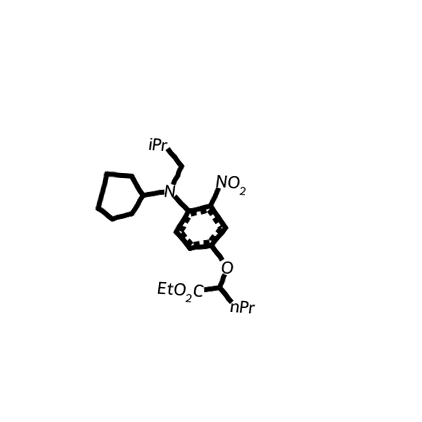 CCCC(Oc1ccc(N(CC(C)C)C2CCCCC2)c([N+](=O)[O-])c1)C(=O)OCC